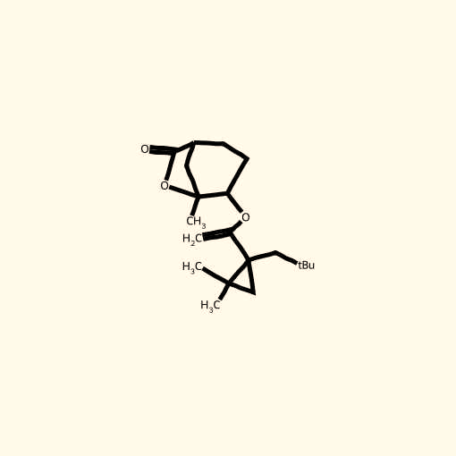 C=C(OC1CCC2CC1(C)OC2=O)C1(CC(C)(C)C)CC1(C)C